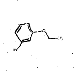 CC(C)c1c[c]cc(OCC(F)(F)F)c1